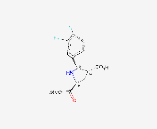 COC(=O)[C@@H]1C[C@@H](C(=O)O)[C@H](c2ccc(F)c(F)c2)N1